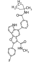 CCC(C)(CC)NC(=O)c1cccc(-c2cc3c(C(=O)NC)c(-c4ccc(F)cc4)oc3c3cc[nH]c23)c1